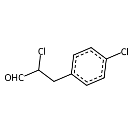 O=CC(Cl)Cc1ccc(Cl)cc1